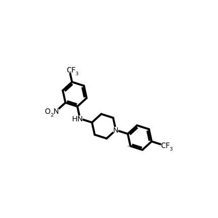 O=[N+]([O-])c1cc(C(F)(F)F)ccc1NC1CCN(c2[c]cc(C(F)(F)F)cc2)CC1